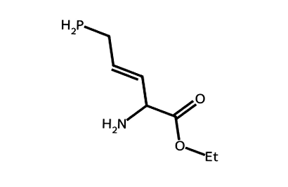 CCOC(=O)C(N)C=CCP